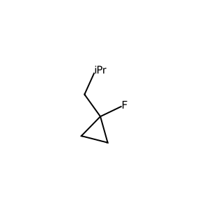 CC(C)CC1(F)CC1